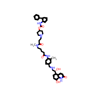 Cc1cc(CNC[C@H](O)c2ccc(O)c3[nH]c(=O)ccc23)ccc1NC(=O)CCCCN(C)C(=O)CCN1CCC(OC(=O)Nc2ccccc2-c2ccccc2)CC1